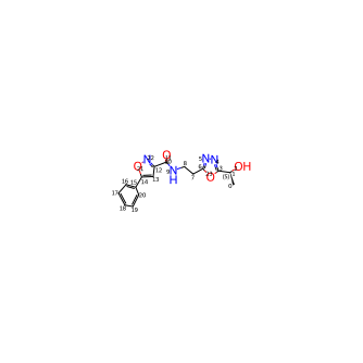 C[C@H](O)c1nnc(CCNC(=O)c2cc(-c3ccccc3)on2)o1